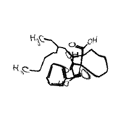 CCCCC(CC)CC(CC(=O)O)C1(C(=O)O)CCCCC1(Cc1ccccc1)C(=O)O